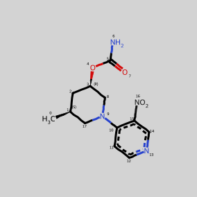 C[C@H]1C[C@@H](OC(N)=O)CN(c2ccncc2[N+](=O)[O-])C1